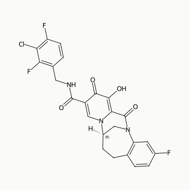 O=C(NCc1ccc(F)c(Cl)c1F)c1cn2c(c(O)c1=O)C(=O)N1C[C@H]2CCc2ccc(F)cc21